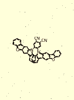 N#Cc1cc(-n2c3ccccc3c3cc4oc5ccccc5c4cc32)c(-n2c3ccccc3c3cc4oc5ccccc5c4cc32)cc1C#N